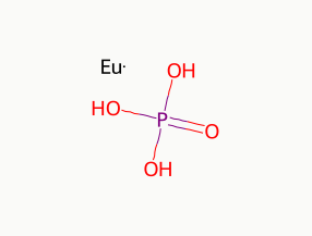 O=P(O)(O)O.[Eu]